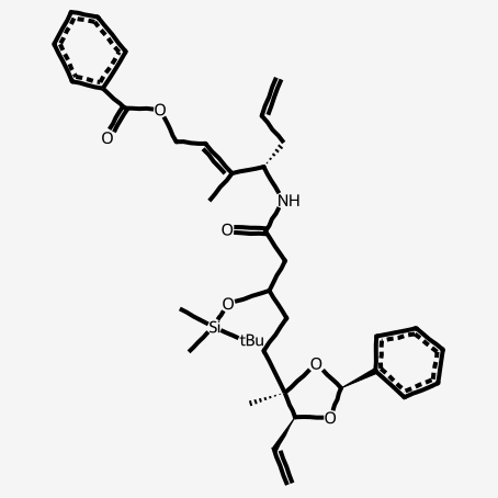 C=CC[C@H](NC(=O)CC(CC[C@@]1(C)O[C@@H](c2ccccc2)O[C@H]1C=C)O[Si](C)(C)C(C)(C)C)/C(C)=C/COC(=O)c1ccccc1